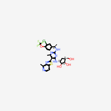 Cc1nc(N[C@H](C)c2ccc(OC(F)(F)F)c(Cl)c2)nc(N[C@@H]2C[C@H](CO)[C@@H](O)[C@H]2O)c1-c1nc2c(C)nccc2s1